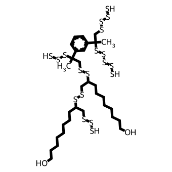 CC(CSSC(CCCCCCCCO)CSSC(CCCCCCCCO)CSSS)(SSS)c1cccc(C(C)(CSSSS)SSSSS)c1